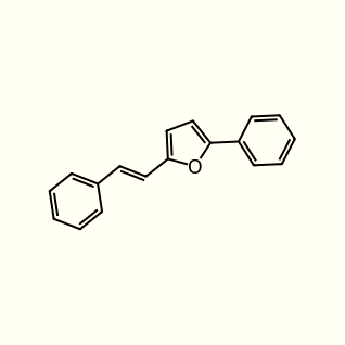 C(=Cc1ccc(-c2ccccc2)o1)c1ccccc1